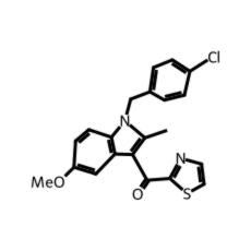 COc1ccc2c(c1)c(C(=O)c1nccs1)c(C)n2Cc1ccc(Cl)cc1